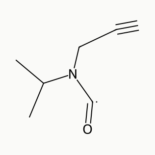 C#CCN([C]=O)C(C)C